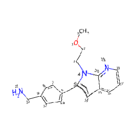 COCCn1c(-c2ccc(CN)cc2)cc2cccnc21